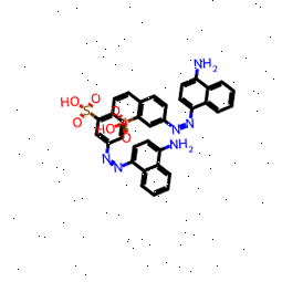 Nc1ccc(/N=N\c2ccc(/C=C\c3ccc(/N=N\c4ccc(N)c5ccccc45)cc3S(=O)(=O)O)c(S(=O)(=O)O)c2)c2ccccc12